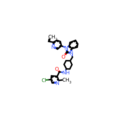 C=Cc1ccc(-n2c(=O)n(CC3CCC(NC(=O)c4cc(Cl)cnc4C)CC3)c3ccccc32)cn1